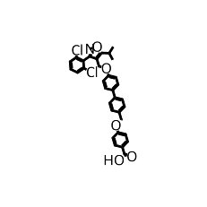 CC(C)c1onc(-c2c(Cl)cccc2Cl)c1COc1ccc(-c2ccc(COc3ccc(C(=O)O)cc3)cc2)cc1